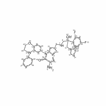 Nc1nc2sc(CNCC(O)(Cn3cncn3)c3ccc(F)cc3F)cc2n(-c2ccc3c(c2)N(c2ccccc2)CCO3)c1=O